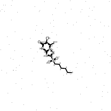 CCCCCCS(=O)(=O)c1nn2c(F)c(Cl)c(=O)nc2s1